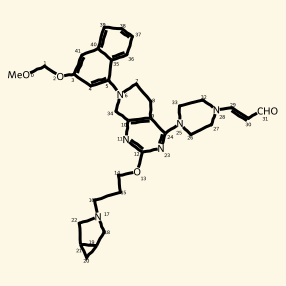 COCOc1cc(N2CCc3c(nc(OCCCN4CC5CC5C4)nc3N3CCN(C=CC=O)CC3)C2)c2ccccc2c1